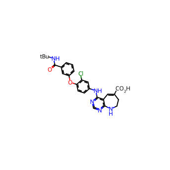 CC(C)(C)NC(=O)c1cccc(Oc2ccc(Nc3ncnc4c3C=C(C(=O)O)CCN4)cc2Cl)c1